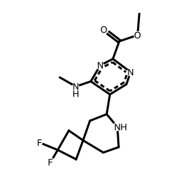 CNc1nc(C(=O)OC)ncc1C1CC2(CCN1)CC(F)(F)C2